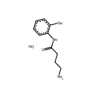 Cl.NCCCC(=O)Nc1ccccc1O